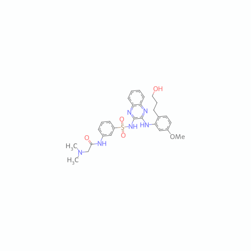 COc1ccc(CCCO)c(Nc2nc3ccccc3nc2NS(=O)(=O)c2cccc(NC(=O)CN(C)C)c2)c1